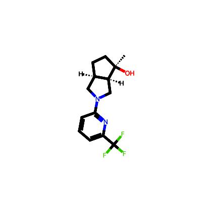 C[C@@]1(O)CC[C@@H]2CN(c3cccc(C(F)(F)F)n3)C[C@@H]21